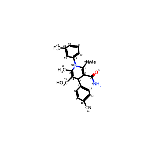 CNC1=C(C(N)=O)C(c2ccc(C#N)cc2)C(C(=O)O)=C(C)N1c1cccc(C(F)(F)F)c1